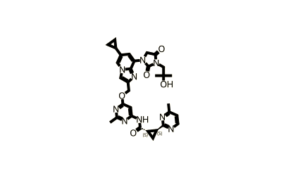 Cc1ccnc([C@H]2C[C@@H]2C(=O)Nc2cc(OCc3cn4cc(C5CC5)cc(N5CC(=O)N(CC(C)(C)O)C5=O)c4n3)nc(C)n2)n1